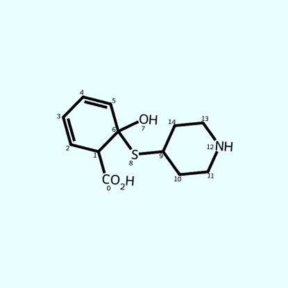 O=C(O)C1C=CC=CC1(O)SC1CCNCC1